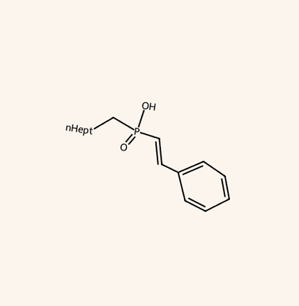 CCCCCCCCP(=O)(O)C=Cc1ccccc1